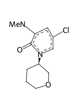 CNc1cc(Cl)cn([C@@H]2CCCOC2)c1=O